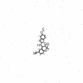 CCOc1ccc2sc(NC3c4cc(C#N)ccc4OC(C)(C)C3O)nc2c1